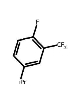 CC(C)c1ccc(F)c(C(F)(F)F)c1